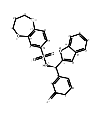 O=S(=O)(N[C@H](C1=CC(=S)CC=C1)c1cc2ccccc2o1)c1ccc2c(c1)OCCCO2